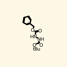 CC(C)(C)OC(=O)NNC(=O)OCc1ccccc1